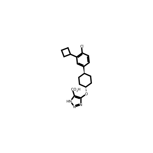 O=C(O)c1[nH]nnc1O[C@H]1CC[C@H](c2ccc(Cl)c(C3CCC3)c2)CC1